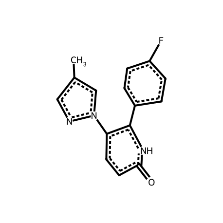 Cc1cnn(-c2ccc(=O)[nH]c2-c2ccc(F)cc2)c1